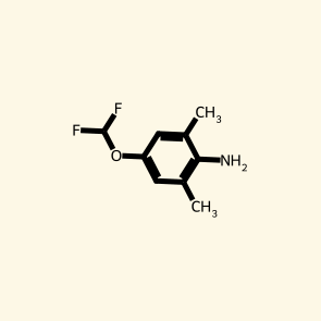 Cc1cc(OC(F)F)cc(C)c1N